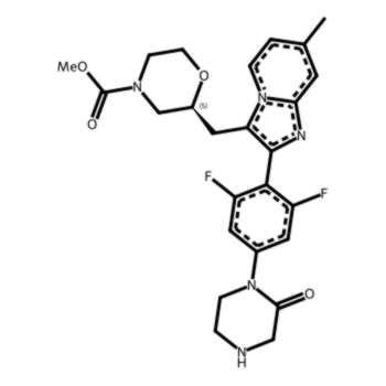 COC(=O)N1CCO[C@@H](Cc2c(-c3c(F)cc(N4CCNCC4=O)cc3F)nc3cc(C)ccn23)C1